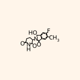 Cc1cc2c(cc1F)C(O)N(C1CCC(=O)NC1=O)C2=O